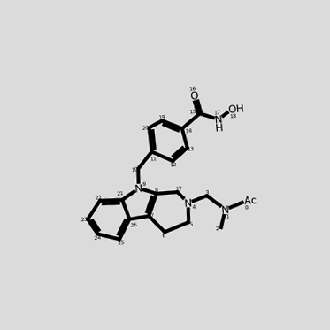 CC(=O)N(C)CN1CCc2c(n(Cc3ccc(C(=O)NO)cc3)c3ccccc23)C1